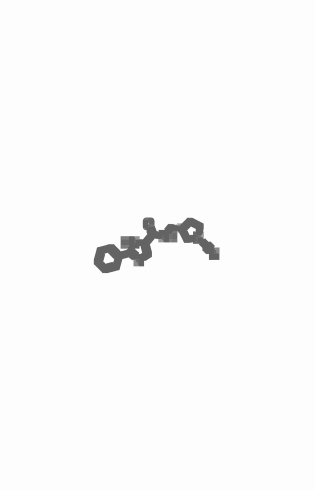 N#CN1CC[C@H](CNC(=O)c2cnc(-c3ccccc3)[nH]2)C1